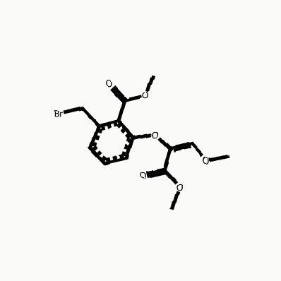 COC=C(Oc1cccc(CBr)c1C(=O)OC)C(=O)OC